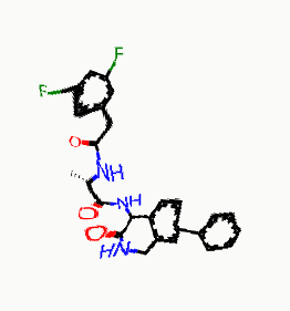 C[C@H](NC(=O)Cc1cc(F)cc(F)c1)C(=O)NC1C(=O)NCc2cc(-c3ccccc3)ccc21